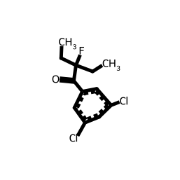 CCC(F)(CC)C(=O)c1cc(Cl)cc(Cl)c1